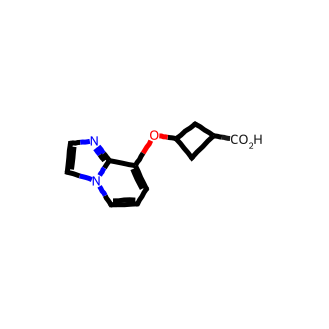 O=C(O)C1CC(Oc2cccn3ccnc23)C1